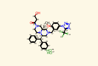 COc1ccc(-n2nnnc2C(F)(F)F)cc1CN1C[C@@H]2CN(C(=O)CCO)CCN2[C@H](C(c2ccccc2)c2ccccc2)C1.Cl.Cl